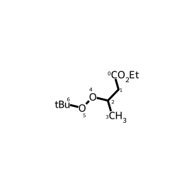 CCOC(=O)CC(C)OOC(C)(C)C